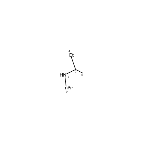 CC[CH]NC(C)CC